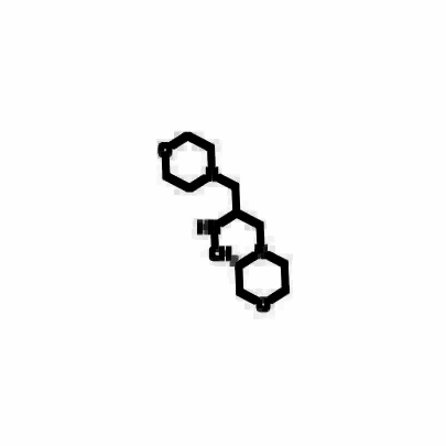 CNC(CN1CCOCC1)CN1CCOCC1